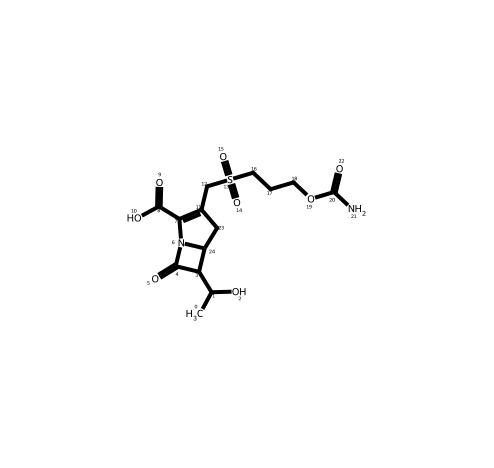 CC(O)C1C(=O)N2C(C(=O)O)=C(CS(=O)(=O)CCCOC(N)=O)CC12